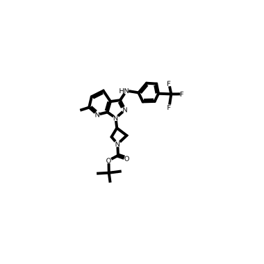 Cc1ccc2c(Nc3ccc(C(F)(F)F)cc3)nn(C3CN(C(=O)OC(C)(C)C)C3)c2n1